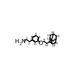 NCCc1cccc(OCCC2C3CC4CC(C3)CC2C4)c1